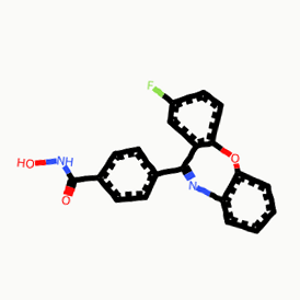 O=C(NO)c1ccc(C2=Nc3ccccc3Oc3ccc(F)cc32)cc1